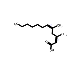 CCCCCC/C=C(/C)C/C(C)=C\C(=O)O